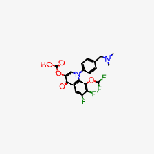 CN(C)Cc1ccc(-n2cc(OC(=O)O)c(=O)c3cc(F)c(F)c(OC(F)F)c32)cc1